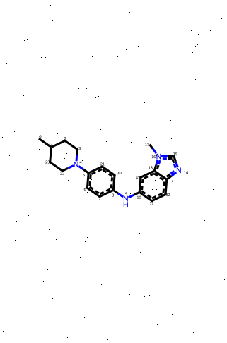 CC1CCN(c2ccc(Nc3ccc4ncn(C)c4c3)cc2)CC1